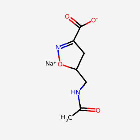 CC(=O)NCC1CC(C(=O)[O-])=NO1.[Na+]